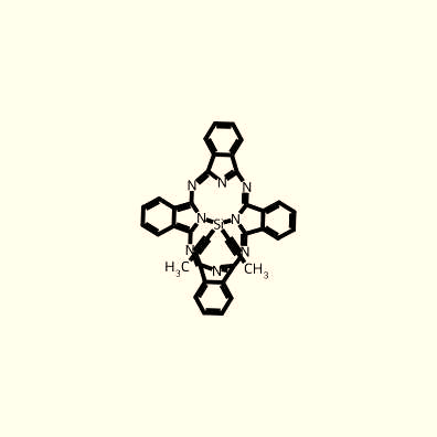 CC#C[Si]1(C#CC)n2c3c4ccccc4c2/N=C2N=C(/N=c4/c5ccccc5/c(n41)=N/C1=NC(=N\3)/c3ccccc31)c1ccccc1\2